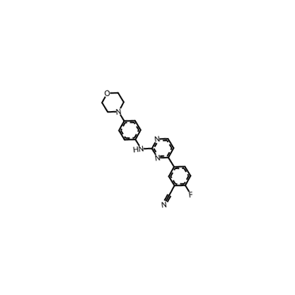 N#Cc1cc(-c2ccnc(Nc3ccc(N4CCOCC4)cc3)n2)ccc1F